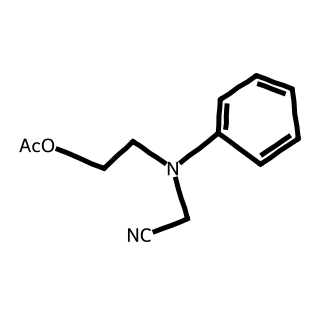 CC(=O)OCCN(CC#N)c1ccccc1